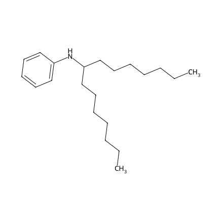 CCCCCCCC(CCCCCCC)Nc1ccccc1